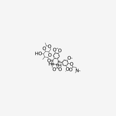 COc1cc([C@@H]2c3cc4c(cc3[C@@H](OC3OC5COC(C)OC5C(O)C3C)[C@H]3COC(=O)[C@H]23)OCO4)cc(OC)c1OC(=O)CN(C)C